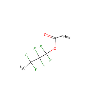 CCCCCCC(=O)OC(F)(F)C(F)(F)C(F)(F)C(F)(F)F